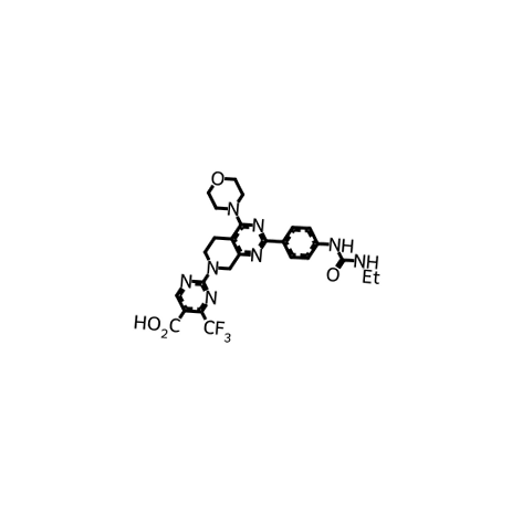 CCNC(=O)Nc1ccc(-c2nc3c(c(N4CCOCC4)n2)CCN(c2ncc(C(=O)O)c(C(F)(F)F)n2)C3)cc1